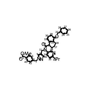 COC(=O)c1ccc(Cn2cc(CN(C(=O)C3CCCc4c(OCc5ccccc5)cccc43)c3ccc(C(C)C)nc3)cn2)cc1